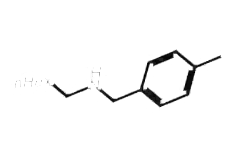 CCCCCCCNCc1ccc(C)cc1